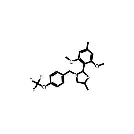 COc1cc(C)cc(OC)c1C1SC(C)CN1Cc1ccc(OC(F)(F)F)cc1